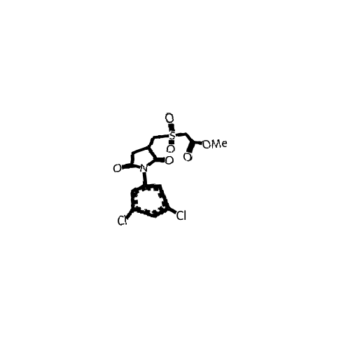 COC(=O)CS(=O)(=O)CC1CC(=O)N(c2cc(Cl)cc(Cl)c2)C1=O